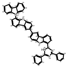 c1ccc(C2=NC(c3cccc4c3sc3ccc(-c5ccc6oc7c(-n8c9ccccc9c9ccccc98)cccc7c6c5)cc34)NC(c3ccccc3)=N2)cc1